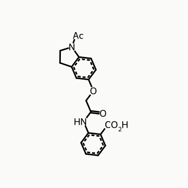 CC(=O)N1CCc2cc(OCC(=O)Nc3ccccc3C(=O)O)ccc21